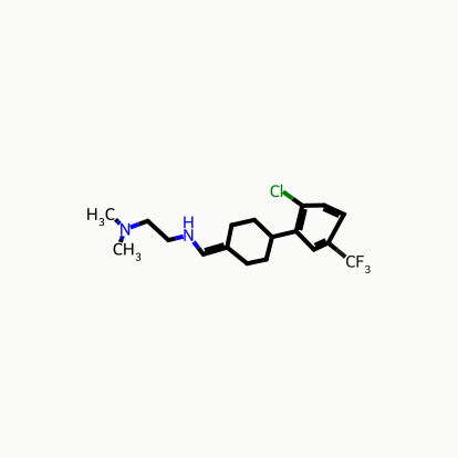 CN(C)CCNC=C1CCC(c2cc(C(F)(F)F)ccc2Cl)CC1